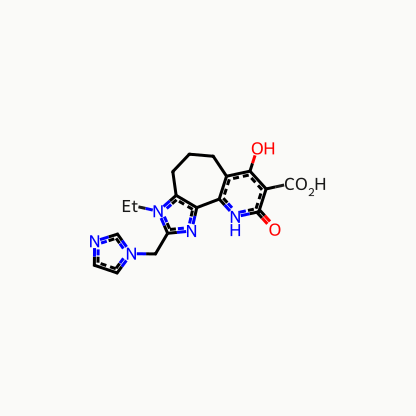 CCn1c(Cn2ccnc2)nc2c1CCCc1c-2[nH]c(=O)c(C(=O)O)c1O